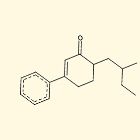 CCC(C)CC1CCC(c2ccccc2)=CC1=O